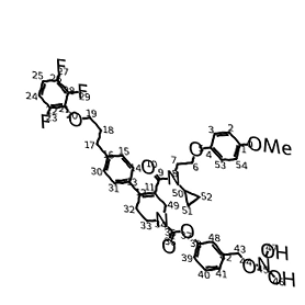 COc1ccc(OCCN(C(=O)C2=C(c3ccc(CCCOc4c(F)ccc(F)c4F)cc3)CCN(C(=O)Oc3cccc(CON(O)O)c3)C2)C2CC2)cc1